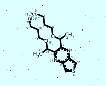 CCCCCCCCCCCCCOC(C)c1nc2cscc2nc1C(C)OCCCCCCCCCCCCC